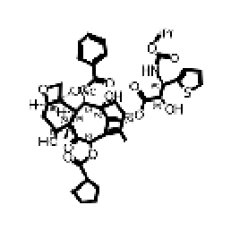 CC(=O)O[C@@]12CO[C@@H]1C[C@H](O)[C@@]1(C)C(=O)[C@H](OC(=O)C3CCCC3)C3=C(C)[C@@H](OC(=O)[C@H](O)[C@@H](NC(=O)OC(C)C)c4cccs4)C[C@@](O)([C@@H](OC(=O)c4ccccc4)[C@H]21)C3(C)C